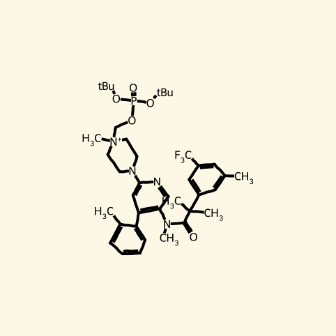 Cc1cc(C(F)(F)F)cc(C(C)(C)C(=O)N(C)c2cnc(N3CC[N+](C)(COP(=O)(OC(C)(C)C)OC(C)(C)C)CC3)cc2-c2ccccc2C)c1